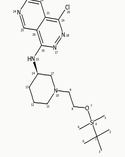 CC(C)(C)[Si](C)(C)OCCN1CCC[C@@H](Nc2nnc(Cl)c3ccncc23)C1